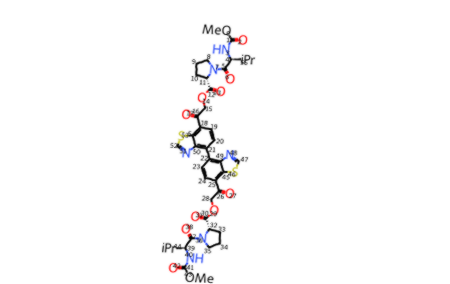 COC(=O)N[C@H](C(=O)N1CCC[C@H]1C(=O)OCC(=O)c1ccc(-c2ccc(C(=O)COC(=O)[C@@H]3CCCN3C(=O)[C@@H](NC(=O)OC)C(C)C)c3scnc23)c2ncsc12)C(C)C